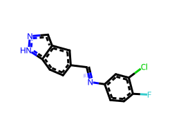 Fc1ccc(/N=C/c2ccc3[nH]ncc3c2)cc1Cl